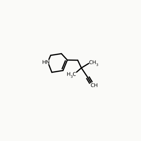 C#CC(C)(C)CC1=CCNCC1